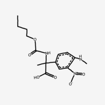 CCCCOC(=O)NC(C)(C(=O)O)c1ccc(NC)c([N+](=O)[O-])c1